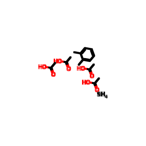 CC(=O)O.CC(=O)O.CC(=O)O.CC(=O)O.Cc1ccccc1C.[SiH4]